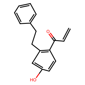 C=CC(=O)c1ccc(O)cc1CCc1ccccc1